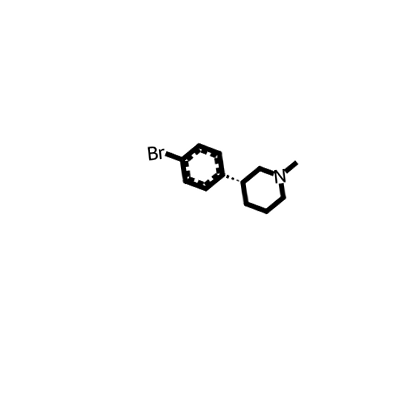 CN1CCC[C@H](c2ccc(Br)cc2)C1